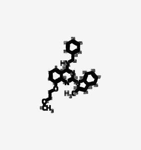 COCCOc1cccc2c(NCc3ccccc3)nc(-n3c(C)cc4ccccc43)nc12